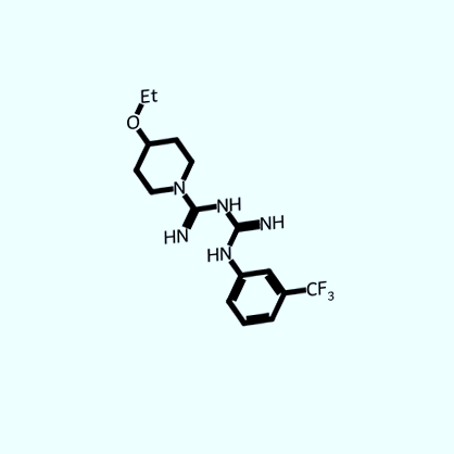 CCOC1CCN(C(=N)NC(=N)Nc2cccc(C(F)(F)F)c2)CC1